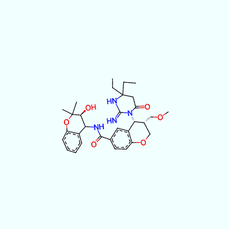 CCC1(CC)CC(=O)N([C@H]2c3cc(C(=O)NC4c5ccccc5OC(C)(C)[C@H]4O)ccc3OC[C@H]2COC)C(=N)N1